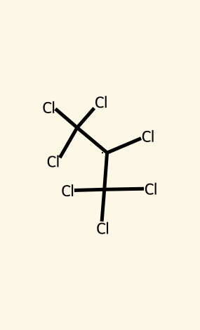 Cl[C](C(Cl)(Cl)Cl)C(Cl)(Cl)Cl